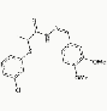 COc1ccc(/C=N\NC(=O)C(C)Sc2cccc(Cl)c2)cc1OC